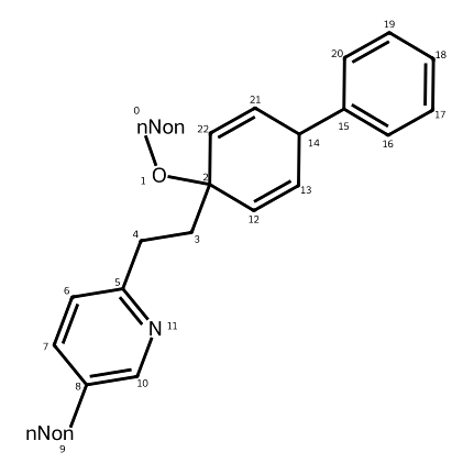 CCCCCCCCCOC1(CCc2ccc(CCCCCCCCC)cn2)C=CC(c2ccccc2)C=C1